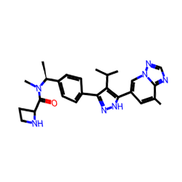 Cc1cc(-c2[nH]nc(-c3ccc([C@H](C)N(C)C(=O)C4CCN4)cc3)c2C(C)C)cn2ncnc12